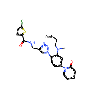 CNCCN(C)c1cc(-n2ccccc2=O)ccc1-n1cc(CNC(=O)c2ccc(Cl)s2)nn1